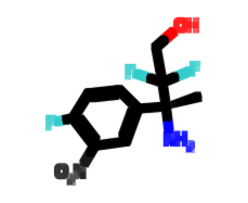 C[C@@](N)(c1ccc(F)c([N+](=O)[O-])c1)C(F)(F)CO